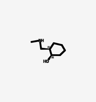 CNC[C@H]1CCCC[C@H]1O